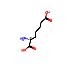 N[C@H](CCCCC(=O)O)C(=O)O